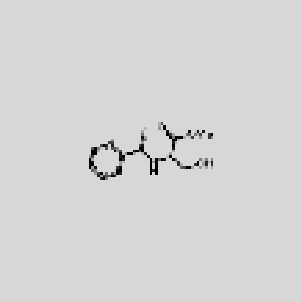 COC(=O)C(CO)NC(=O)c1ccccn1